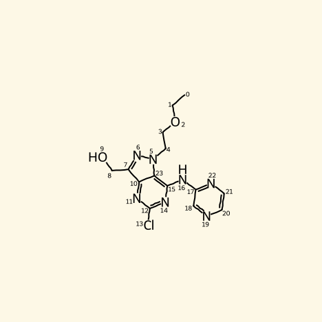 CCOCCn1nc(CO)c2nc(Cl)nc(Nc3cnccn3)c21